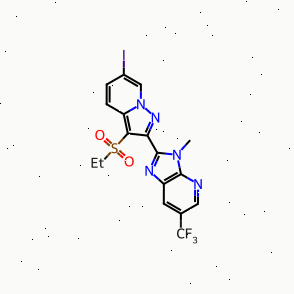 CCS(=O)(=O)c1c(-c2nc3cc(C(F)(F)F)cnc3n2C)nn2cc(I)ccc12